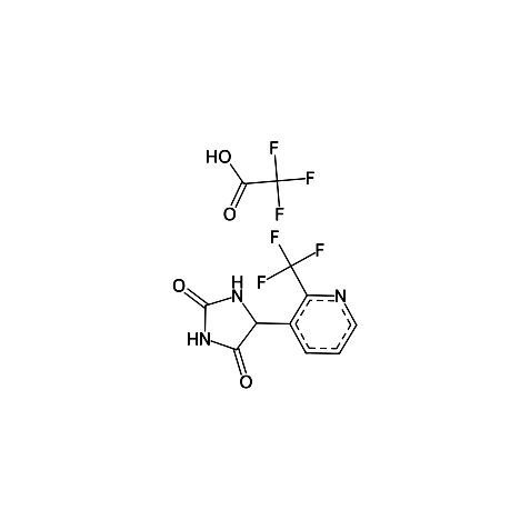 O=C(O)C(F)(F)F.O=C1NC(=O)C(c2cccnc2C(F)(F)F)N1